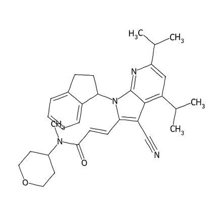 CC(C)c1cc(C(C)C)c2c(C#N)c(C=CC(=O)N(C)C3CCOCC3)n(C3CCc4ccccc43)c2n1